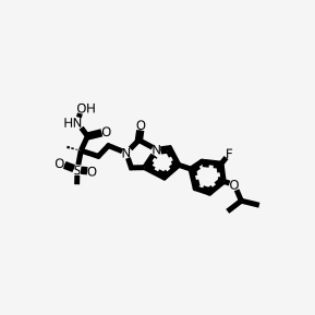 CC(C)Oc1ccc(-c2cc3n(c2)C(=O)N(CC[C@](C)(C(=O)NO)S(C)(=O)=O)C3)cc1F